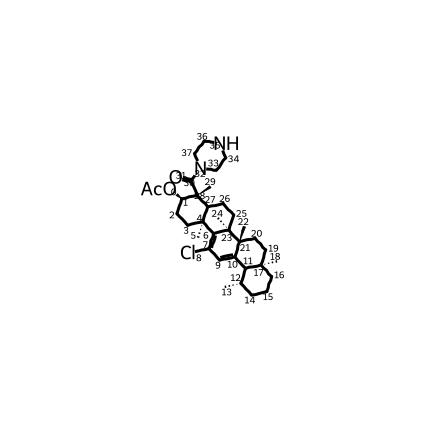 CC(=O)O[C@@H]1CC[C@]2(C)C3=C(Cl)C=C4C5[C@@H](C)CCC[C@]5(C)CC[C@@]4(C)[C@]3(C)CCC2[C@@]1(C)C(=O)N1CCNCC1